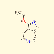 FC(F)(F)COc1ncc2ccnccc1-2